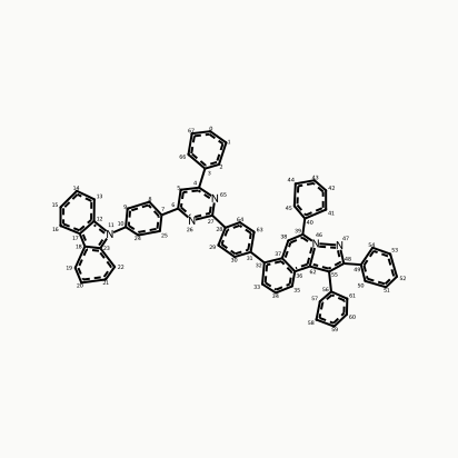 c1ccc(-c2cc(-c3ccc(-n4c5ccccc5c5ccccc54)cc3)nc(-c3ccc(-c4cccc5c4cc(-c4ccccc4)n4nc(-c6ccccc6)c(-c6ccccc6)c54)cc3)n2)cc1